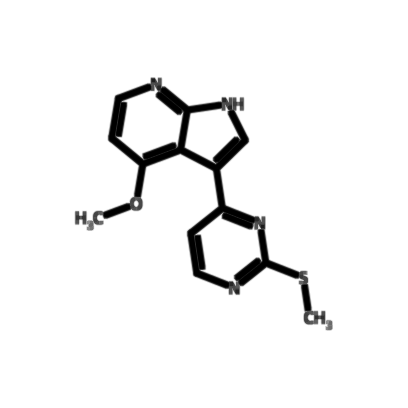 COc1ccnc2[nH]cc(-c3ccnc(SC)n3)c12